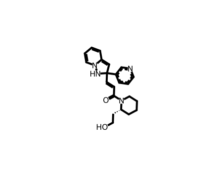 O=C(C=CC1(c2cccnc2)C=C2C=CC=CN2N1)N1CCCC[C@@H]1CCO